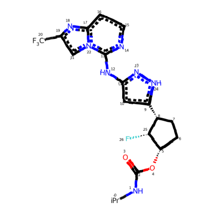 CC(C)NC(=O)O[C@H]1CC[C@@H](c2cc(Nc3nccc4nc(C(F)(F)F)cn34)n[nH]2)[C@H]1F